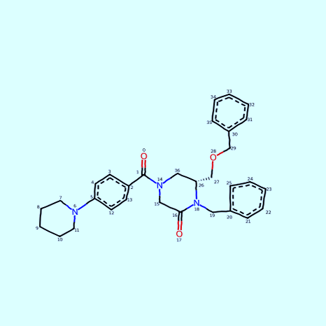 O=C(c1ccc(N2CCCCC2)cc1)N1CC(=O)N(Cc2ccccc2)[C@@H](COCc2ccccc2)C1